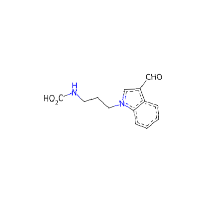 O=Cc1cn(CCCNC(=O)O)c2ccccc12